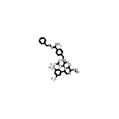 CC(C)Nc1ncc(-c2cc(N)cc(C(F)(F)F)c2)n(C(OC(=O)C(F)(F)F)C(=O)NCc2ccc(C(N)=NOCc3ccccc3)cc2)c1=O